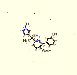 BC(B)(c1cnn(C)c1)c1ccc(OC)c(-c2cccc(C#N)c2)n1